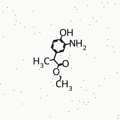 CCOC(=O)C(C)c1ccc(O)c(N)c1